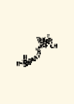 C#Cc1c(F)ccc2cc(O)cc(-c3ncc4c(N5CC6CCC(C5)N6)nc(OCC5(CN6CCC(CN7CCN(c8ccc(C(=O)NC9CCC(=O)NC9=O)nc8)CC7)CC6)CC5)nc4c3F)c12